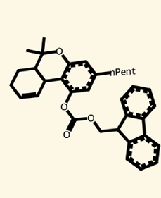 CCCCCc1cc(OC(=O)OCC2c3ccccc3-c3ccccc32)c2c(c1)OC(C)(C)C1CCC=CC21